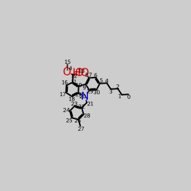 CCCCCc1cc(O)c2c3c(C(=O)OC)cccc3n(Cc3cccc(C)c3)c2c1